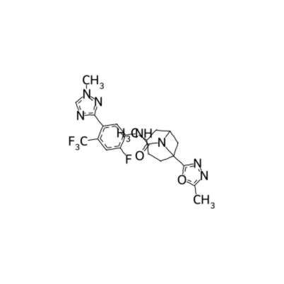 Cc1nnc(C23CCC(C)CC(C2)N3C(=O)Nc2cc(-c3ncn(C)n3)c(C(F)(F)F)cc2F)o1